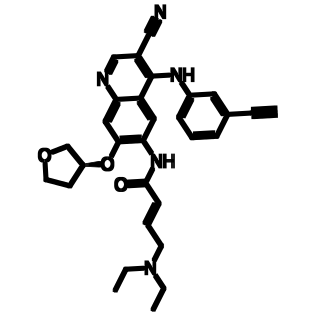 C#Cc1cccc(Nc2c(C#N)cnc3cc(O[C@H]4CCOC4)c(NC(=O)C=CCN(CC)CC)cc23)c1